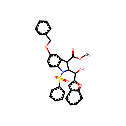 COC(=O)C1c2cc(OCc3ccccc3)ccc2N(S(=O)(=O)c2ccccc2)C1C(O)c1cc2ccccc2o1